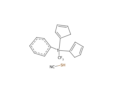 F[C](F)(F)[Ti]([C]1=CC=CC1)([C]1=CC=CC1)[c]1ccccc1.N#CS